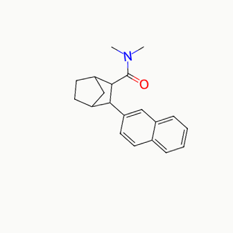 CN(C)C(=O)C1C2CCC(C2)C1c1ccc2ccccc2c1